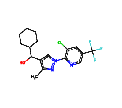 Cc1nn(-c2ncc(C(F)(F)F)cc2Cl)cc1C(O)C1CCCCC1